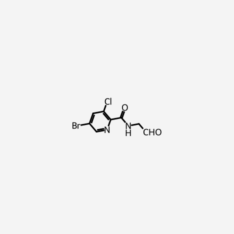 O=CCNC(=O)c1ncc(Br)cc1Cl